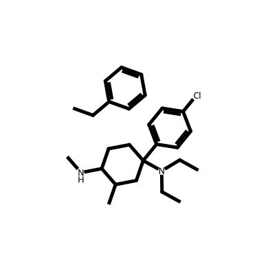 CCN(CC)C1(c2ccc(Cl)cc2)CCC(NC)C(C)C1.CCc1ccccc1